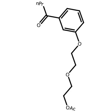 CCCC(=O)c1cccc(OCCOCCOC(C)=O)c1